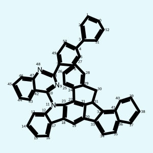 c1ccc(-c2ccc(-c3nc(-n4c5ccccc5c5cc6c7c(c54)-c4ccccc4CC7c4c-6ccc5ccccc45)c4ccccc4n3)cc2)cc1